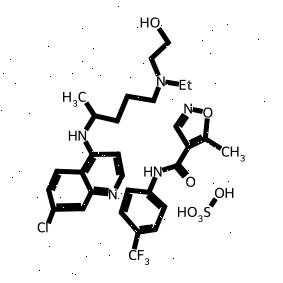 CCN(CCO)CCCC(C)Nc1ccnc2cc(Cl)ccc12.Cc1oncc1C(=O)Nc1ccc(C(F)(F)F)cc1.O=S(=O)(O)O